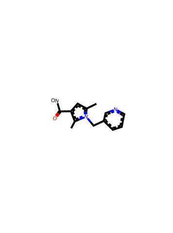 Cc1cc(C(=O)N=O)c(C)n1Cc1cccnc1